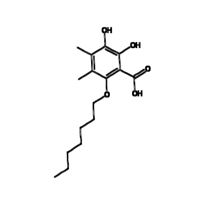 CCCCCCCOc1c(C)c(C)c(O)c(O)c1C(=O)O